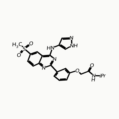 CC(C)NC(=O)COc1cccc(-c2nc(Nc3cn[nH]c3)c3cc(S(C)(=O)=O)ccc3n2)c1